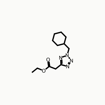 CCOC(=O)Cc1nnn(CC2CCCCC2)n1